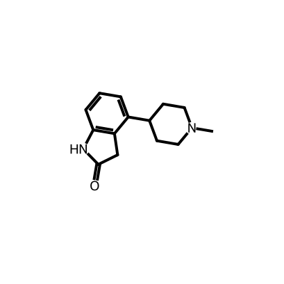 CN1CCC(c2cccc3c2CC(=O)N3)CC1